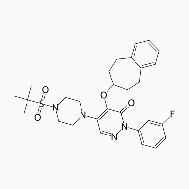 CC(C)(C)S(=O)(=O)N1CCN(c2cnn(-c3cccc(F)c3)c(=O)c2OC2CCc3ccccc3CC2)CC1